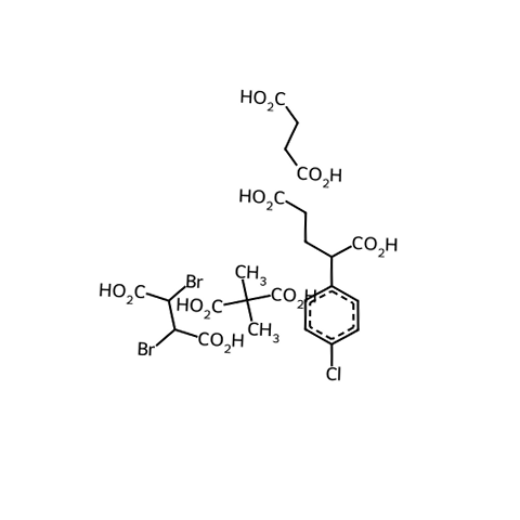 CC(C)(C(=O)O)C(=O)O.O=C(O)C(Br)C(Br)C(=O)O.O=C(O)CCC(=O)O.O=C(O)CCC(C(=O)O)c1ccc(Cl)cc1